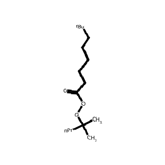 CCCC(C)(C)OOC(=O)CCCCCC(C)(C)C